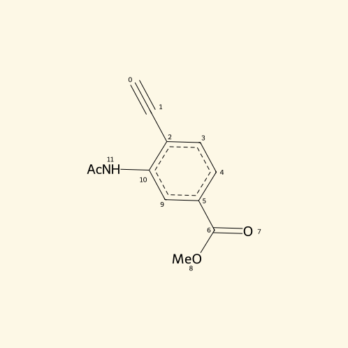 C#Cc1ccc(C(=O)OC)cc1NC(C)=O